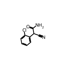 N#CC(C(N)=O)c1ccccc1Cl